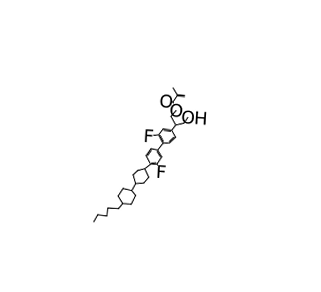 C=C(C)C(=O)OCC(CO)c1ccc(-c2ccc(C3CCC(C4CCC(CCCCC)CC4)CC3)c(F)c2)c(F)c1